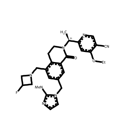 CCOc1cc([C@H](C)N2CCc3c(CN4CC(F)C4)cc(Cn4ccnc4NC)cc3C2=O)ncc1C#N